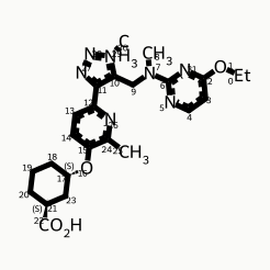 CCOc1ccnc(N(C)Cc2c(-c3ccc(O[C@H]4CCC[C@H](C(=O)O)C4)c(C)n3)nnn2C)n1